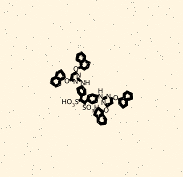 O=S(=O)(O)C(=C(c1ccc(Nc2nc(Oc3cccc4ccccc34)cc(Oc3cccc4ccccc34)n2)cc1)S(=O)(=O)O)c1ccc(Nc2nc(Oc3cccc4ccccc34)cc(Oc3cccc4ccccc34)n2)cc1